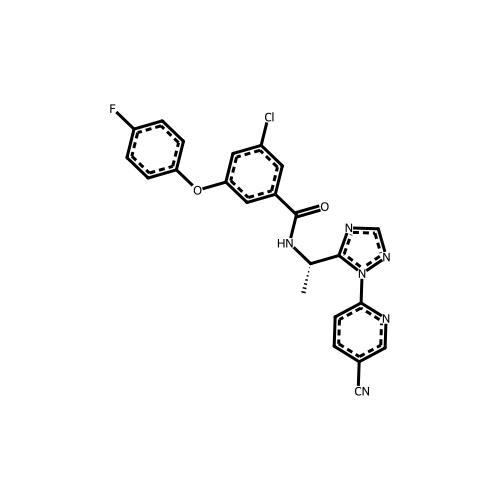 C[C@H](NC(=O)c1cc(Cl)cc(Oc2ccc(F)cc2)c1)c1ncnn1-c1ccc(C#N)cn1